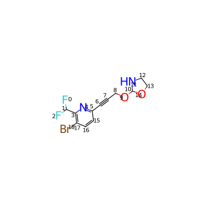 FC(F)c1nc(C#CCOC2NCCO2)ccc1Br